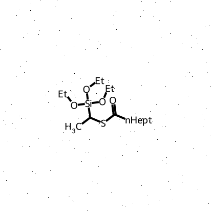 CCCCCCCC(=O)SC(C)[Si](OCC)(OCC)OCC